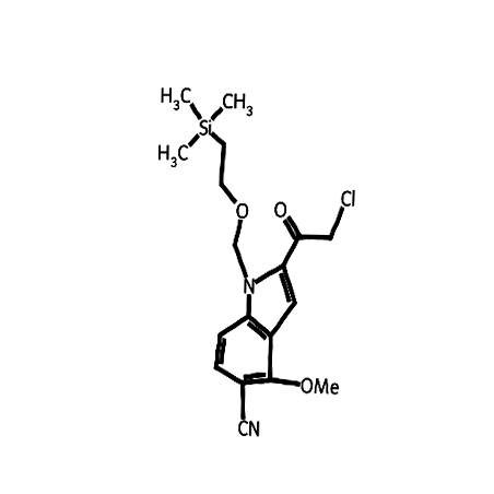 COc1c(C#N)ccc2c1cc(C(=O)CCl)n2COCC[Si](C)(C)C